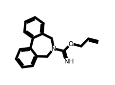 C=CCOC(=N)N1Cc2ccccc2-c2ccccc2C1